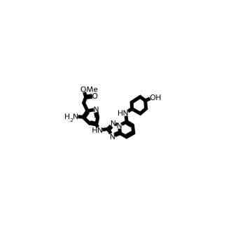 COC(=O)Cc1ncc(Nc2nc3cccc(NC4CCC(O)CC4)n3n2)cc1N